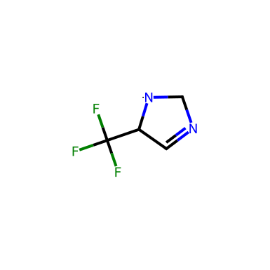 FC(F)(F)C1C=NC[N]1